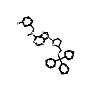 CN(Cc1cccc(F)c1)c1ncnc2c1ncn2[C@H]1CCC(COC(c2ccccc2)(c2ccccc2)c2ccccc2)O1